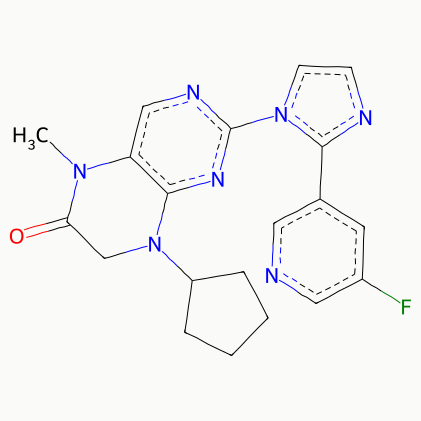 CN1C(=O)CN(C2CCCC2)c2nc(-n3ccnc3-c3cncc(F)c3)ncc21